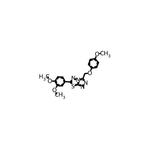 COc1ccc(OCc2nnc3sc(-c4ccc(OC)c(OC)c4)nn23)cc1